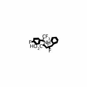 O=C(O)C(CC(F)(F)Cc1ccccc1)N[C@@H](c1ccc(F)cc1)C(F)(F)F